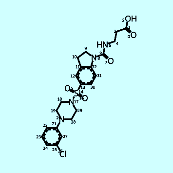 O=C(O)CCNC(=O)N1CCc2cc(S(=O)(=O)N3CCN(c4cccc(Cl)c4)CC3)ccc21